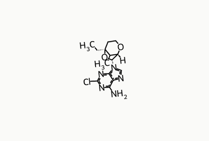 CC[C@]12CCO[C@@H](C1C)[C@H](n1cnc3c(N)nc(Cl)nc31)O2